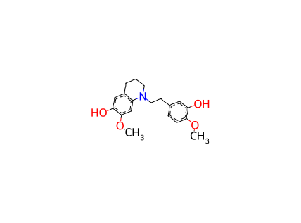 COc1ccc(CCN2CCCc3cc(O)c(OC)cc32)cc1O